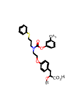 CCOC(Cc1ccc(OCCN(CCCSc2ccccc2)C(=O)Oc2cccc(C)c2)cc1)C(=O)O